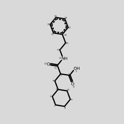 O=C(O)C(CC1CCCCC1)C(=O)NCCc1ccccc1